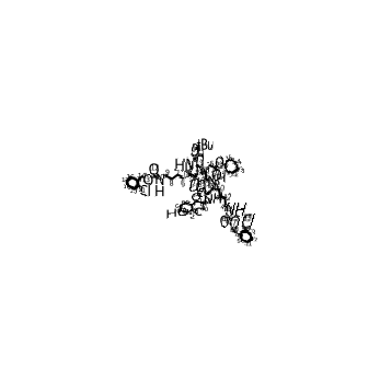 CC(C)(C)OC(=O)N[C@@H](CCCCNC(=O)OCc1ccccc1Cl)C(=O)N[C@@H](CC(=O)OC1CCCCC1)C(=O)N[C@@H](CCCCNC(=O)OCc1ccccc1Cl)C(=O)N[C@@H](CC(=O)O)C(=O)C1CCCCC1